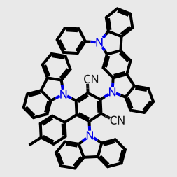 Cc1ccc(-c2c(-n3c4ccccc4c4ccccc43)c(C#N)c(-n3c4ccccc4c4cc5c6ccccc6n(-c6ccccc6)c5cc43)c(C#N)c2-n2c3ccccc3c3ccccc32)cc1